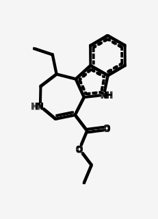 CCOC(=O)C1=CNCC(CC)c2c1[nH]c1ccccc21